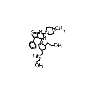 CN1CCN(c2nc(N3CCC(CNCCO)CC3CCO)c3c(-c4ccccc4)csc3n2)CC1